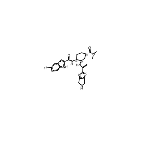 C=C(N[C@@H]1C[C@@H](C(=O)N(C)C)CC[C@@H]1NC(=O)c1cc2cc(Cl)ccc2[nH]1)c1nc2c(s1)CNC2